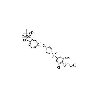 CCCC(C)(C)S(=O)(=O)NC1=NC=CC(C)(COc2ccc(C(C)(C)c3cc(Cl)c(OCCCl)c(C#N)c3)cc2)C=N1